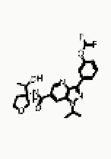 CC(C)n1nc(-c2cccc(OC(F)F)c2)c2ncc(C(=O)N[C@@]3([C@@H](C)O)CCOC3)cc21